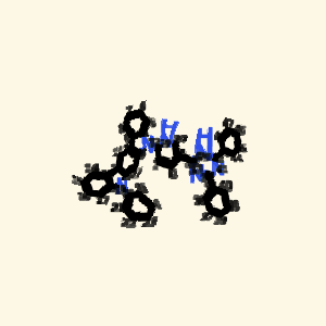 C1=CC(n2c3ccccc3c3cc4c5ccccc5n(-c5ccccc5)c4cc32)NC=C1C1N=C(c2ccccc2)N=C(c2ccccc2)N1